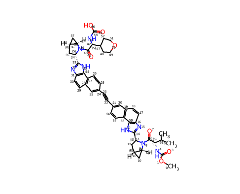 COC(=O)N[C@H](C(=O)N1[C@@H]2C[C@@H]2C[C@H]1c1nc2ccc3cc(C#Cc4ccc5c(ccc6nc([C@@H]7C[C@H]8C[C@H]8N7C(=O)[C@@H](NC(=O)O)C7CCOCC7)[nH]c65)c4)ccc3c2[nH]1)C(C)C